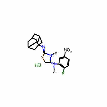 CCCN1C(=NC23CC4CC(CC(C4)C2)C3)SCC1N(C(C)=O)c1cc([N+](=O)[O-])ccc1F.Cl